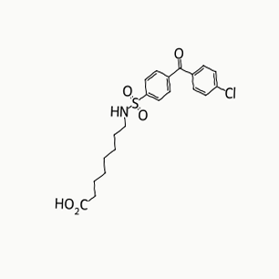 O=C(O)CCCCCCCNS(=O)(=O)c1ccc(C(=O)c2ccc(Cl)cc2)cc1